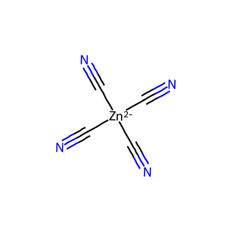 N#[C][Zn-2]([C]#N)([C]#N)[C]#N